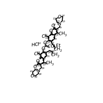 C=CCc1cc2c(C)c(CN3CCOCC3)c(=O)oc2c(Cl)c1OC(Oc1c(CC=C)cc2c(C)c(CN3CCOCC3)c(=O)oc2c1Cl)C(=O)OCC.Cl